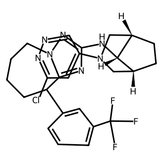 FC(F)(F)c1cccc(C2CCCCn3nc(N[C@H]4[C@@H]5CC[C@H]4CN(c4cnnc(Cl)c4)C5)nc32)c1